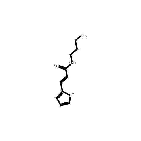 CCCCNC(=O)C=Cc1ccco1